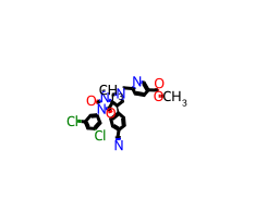 COC(=O)c1ccc(CN2C[C@@H](c3ccc(C#N)cc3)[C@]3(C2)C(=O)N(c2cc(Cl)cc(Cl)c2)C(=O)N3C)nc1